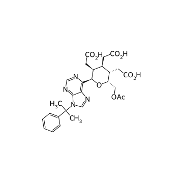 CC(=O)OC[C@@H]1O[C@@H](c2ncnc3c2ncn3C(C)(C)c2ccccc2)[C@@H](CC(=O)O)[C@@H](CC(=O)O)[C@@H]1CC(=O)O